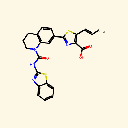 CC=Cc1sc(-c2ccc3c(c2)N(C(=O)Nc2nc4ccccc4s2)CCC3)nc1C(=O)O